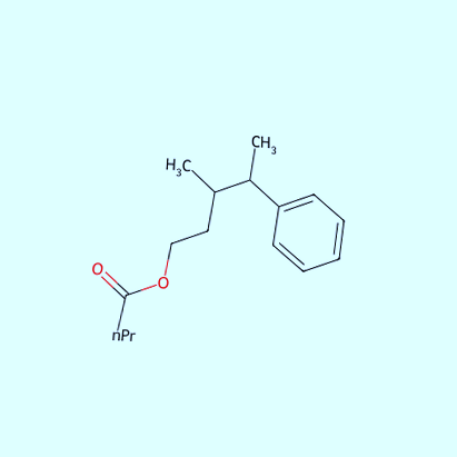 CCCC(=O)OCCC(C)C(C)c1ccccc1